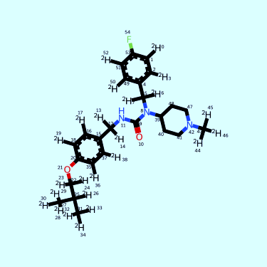 [2H]c1c([2H])c(C([2H])([2H])N(C(=O)NC([2H])([2H])c2c([2H])c([2H])c(OC([2H])([2H])C([2H])(C([2H])([2H])[2H])C([2H])([2H])[2H])c([2H])c2[2H])C2CCN(C([2H])([2H])[2H])CC2)c([2H])c([2H])c1F